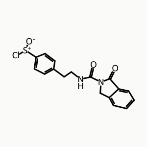 O=C(NCCc1ccc([S+]([O-])Cl)cc1)N1Cc2ccccc2C1=O